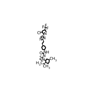 Cc1ccc(C(C)C)c(N2CCS/C2=N\C(=O)Nc2ccc(/C=C/c3ncn(-c4ncc(C(F)(F)F)cc4Cl)n3)cc2)c1